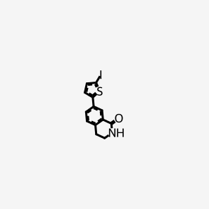 O=C1NCCc2ccc(-c3ccc(I)s3)cc21